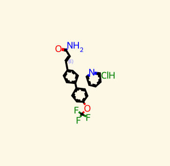 Cl.NC(=O)/C=C/c1ccc(-c2ccc(OC(F)(F)F)cc2)cc1.c1ccncc1